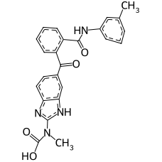 Cc1cccc(NC(=O)c2ccccc2C(=O)c2ccc3nc(N(C)C(=O)O)[nH]c3c2)c1